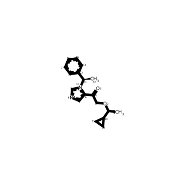 CC(OCC(=O)c1cncn1[C@H](C)c1ccccc1)C1CC1